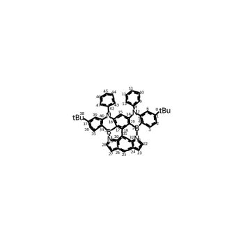 CC(C)(C)c1ccc2c(c1)N(c1ccccc1)c1cc3c4c5c1B2n1ccc2cc6ccn(c6c-5c21)B4c1ccc(C(C)(C)C)cc1N3c1ccccc1